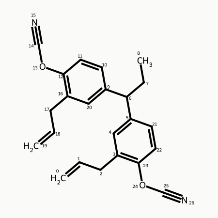 C=CCc1cc(C(CC)c2ccc(OC#N)c(CC=C)c2)ccc1OC#N